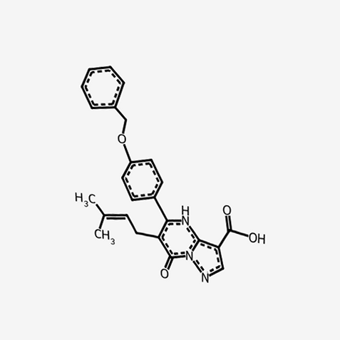 CC(C)=CCc1c(-c2ccc(OCc3ccccc3)cc2)[nH]c2c(C(=O)O)cnn2c1=O